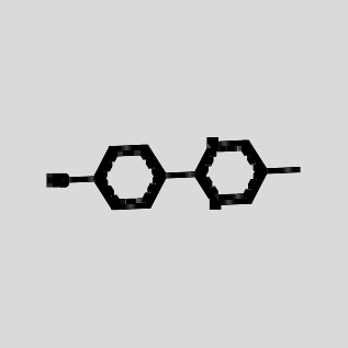 Cc1cnc(-c2ccc(O)cc2)nc1